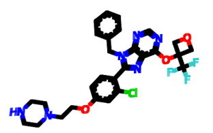 FC(F)(F)C1(Oc2ncnc3c2nc(-c2ccc(OCCN4CCNCC4)cc2Cl)n3Cc2ccccc2)COC1